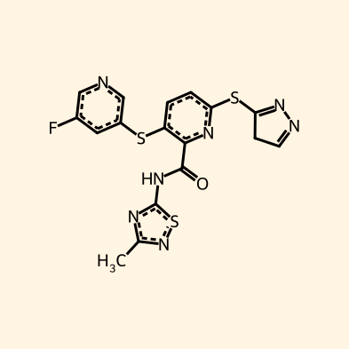 Cc1nsc(NC(=O)c2nc(SC3=NN=CC3)ccc2Sc2cncc(F)c2)n1